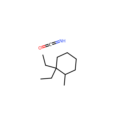 CCC1(CC)CCCCC1C.N=C=O